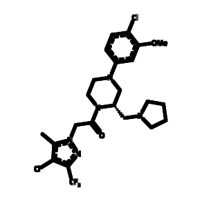 COc1cc(N2CCN(C(=O)Cn3nc(C(F)(F)F)c(Cl)c3C)[C@@H](CN3CCCC3)C2)ccc1Cl